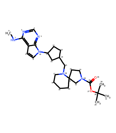 CNc1ncnc2c1ccn2C1CCC(CN2CCCCC23CCN(C(=O)OC(C)(C)C)C3)C1